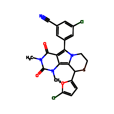 Cn1c(=O)c2c(-c3cc(Cl)cc(C#N)c3)n3c(c2n(C)c1=O)C(c1ccc(Cl)o1)SCC3